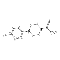 CCOC(=O)C(=O)N1CCN(c2ccc(F)cc2)CC1